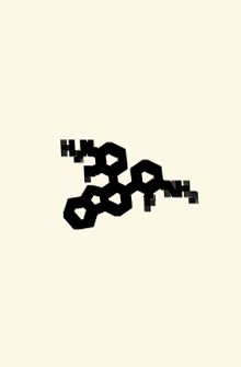 Nc1cccc(-c2ccc3c(c2-c2cccc(N)c2F)Cc2ccccc2-3)c1F